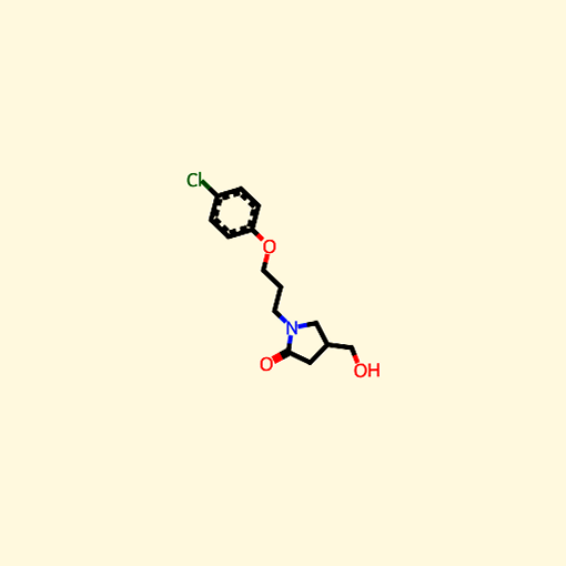 O=C1CC(CO)CN1CCCOc1ccc(Cl)cc1